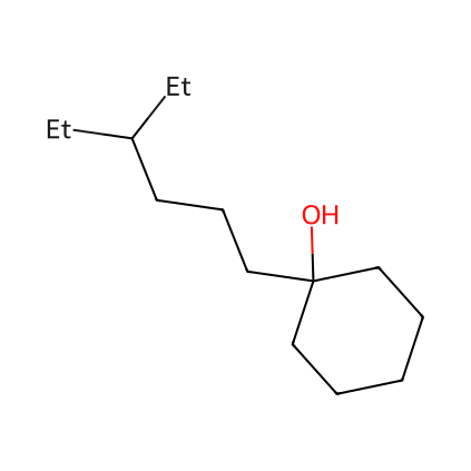 CCC(CC)CCCC1(O)CCCCC1